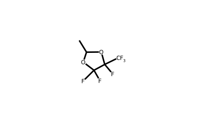 CC1OC(F)(F)C(F)(C(F)(F)F)O1